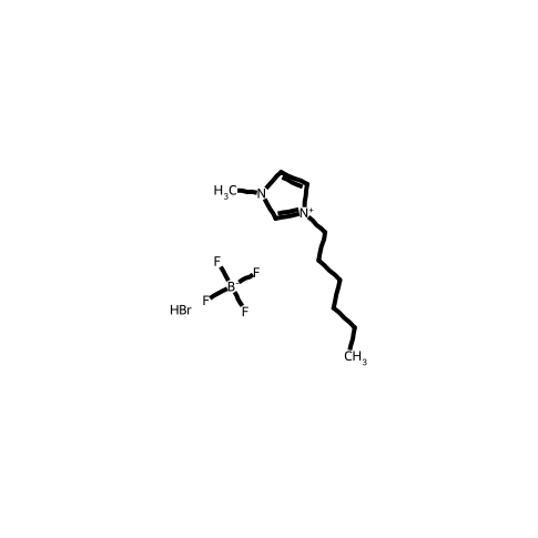 Br.CCCCCC[n+]1ccn(C)c1.F[B-](F)(F)F